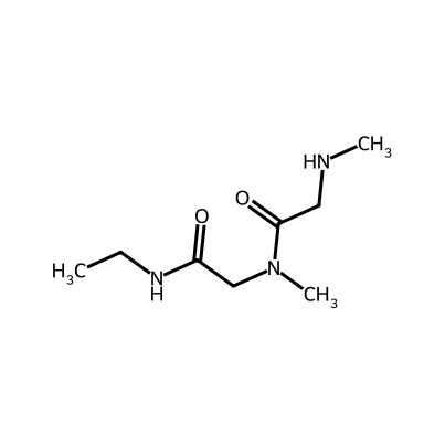 CCNC(=O)CN(C)C(=O)CNC